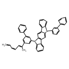 C=C/C=C\C=C(/C)c1cc(-c2ccccc2)cc(-n2c3ccccc3c3cc4c(cc32)c2ccccc2n4-c2cccc(-c3ccccc3)c2)c1